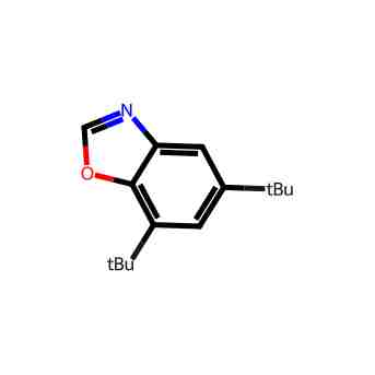 CC(C)(C)c1cc(C(C)(C)C)c2ocnc2c1